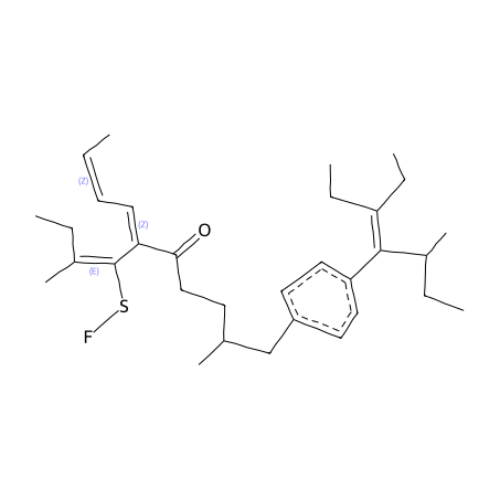 C\C=C/C=C(C(=O)CCC(C)Cc1ccc(C(=C(CC)CC)C(C)CC)cc1)\C(SF)=C(\C)CC